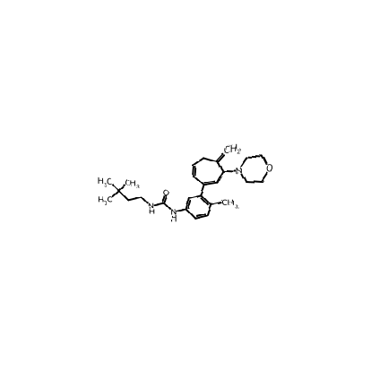 C=C1CC=CC(c2cc(NC(=O)NCCC(C)(C)C)ccc2C)=CC1N1CCOCC1